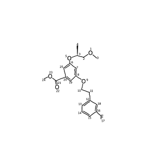 COC[C@H](C)Oc1cc(OCCc2cccc(F)c2)cc(C(=O)OC)c1